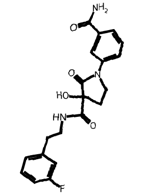 NC(=O)c1cccc(N2CCC(O)(C(=O)NCCc3cccc(F)c3)C2=O)c1